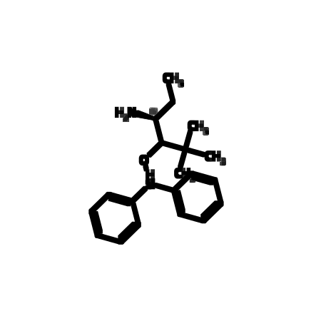 CC[C@H](N)C(O[SiH](c1ccccc1)c1ccccc1)C(C)(C)C